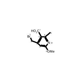 COc1cc(CBr)c(C(=O)O)c(C)n1